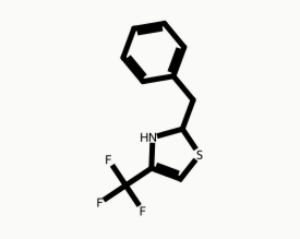 FC(F)(F)C1=[C]SC(Cc2ccccc2)N1